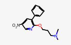 CN(C)CCCOc1ncc([N+](=O)[O-])cc1-c1ccccc1